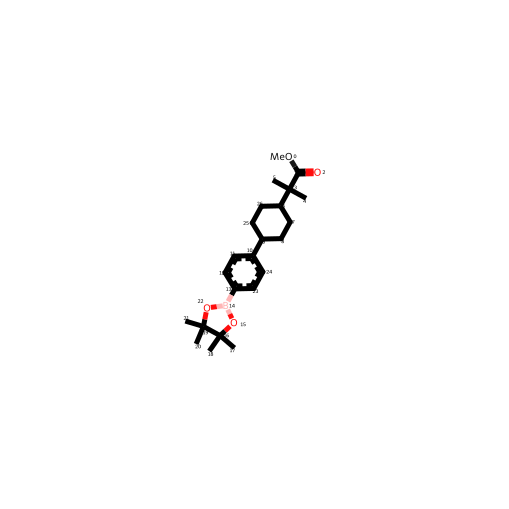 COC(=O)C(C)(C)C1CCC(c2ccc(B3OC(C)(C)C(C)(C)O3)cc2)CC1